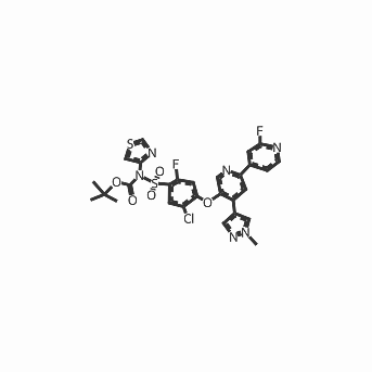 Cn1cc(-c2cc(-c3ccnc(F)c3)ncc2Oc2cc(F)c(S(=O)(=O)N(C(=O)OC(C)(C)C)c3cscn3)cc2Cl)cn1